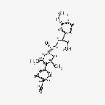 COc1cccc(C(CO)CCC(=O)N2CC(C)N(c3ccc(C#N)cn3)C(C)C2)c1